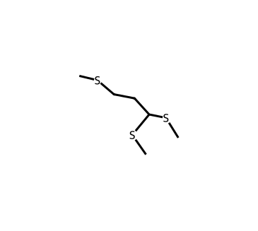 CSCCC(SC)SC